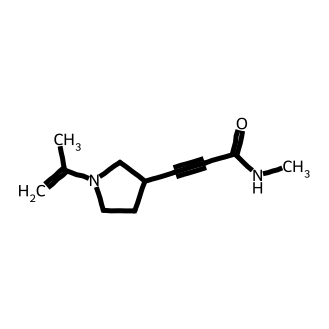 C=C(C)N1CCC(C#CC(=O)NC)C1